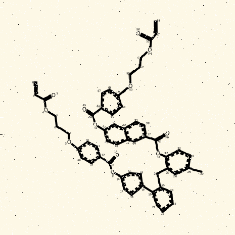 C=CC(=O)OCCCOc1ccc(C(=O)Oc2ccc(-c3ccccc3Cc3cc(C)ccc3OC(=O)c3ccc4cc(OC(=O)c5ccc(OCCCOC(=O)C=C)cc5)ccc4c3)cc2)cc1